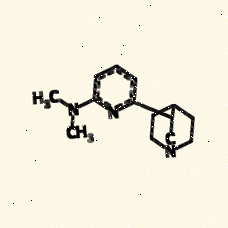 CN(C)c1cccc(C2CN3CCC2CC3)n1